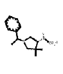 CC(c1ccccc1)N1C[C@H](NC(=O)O)C(C)(C)C1